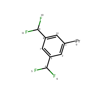 CC(C)c1cc(C(F)F)cc(C(F)F)c1